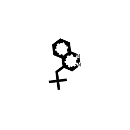 CC(C)(C)Cc1cnnc2ccccc12